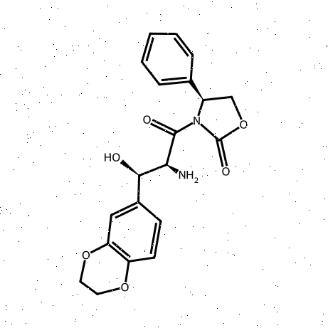 N[C@H](C(=O)N1C(=O)OC[C@@H]1c1ccccc1)[C@H](O)c1ccc2c(c1)OCCO2